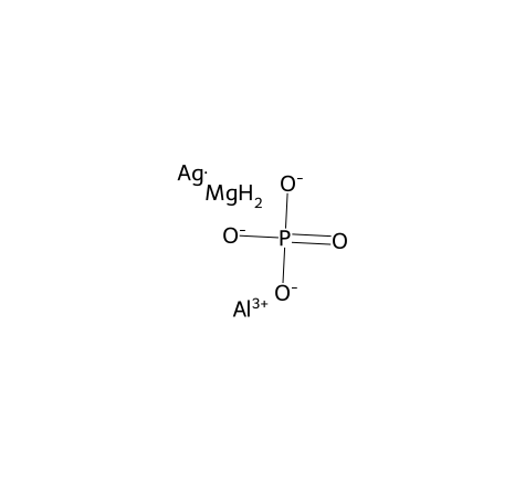 O=P([O-])([O-])[O-].[Ag].[Al+3].[MgH2]